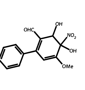 COC1=CC(c2ccccc2)=C(C=O)C(O)C1(O)[N+](=O)[O-]